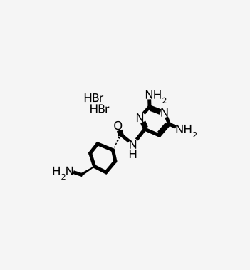 Br.Br.NC[C@H]1CC[C@H](C(=O)Nc2cc(N)nc(N)n2)CC1